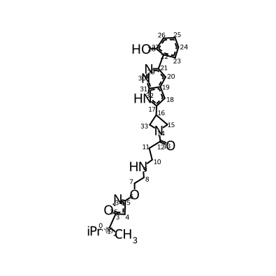 CC(C)[C@@H](C)c1cc(OCCNCCC(=O)N2CC(c3cc4cc(-c5ccccc5O)nnc4[nH]3)C2)no1